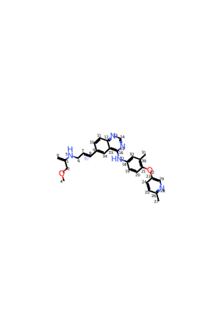 C=C(COC)NC/C=C/c1ccc2ncnc(Nc3ccc(Oc4ccc(C)nc4)c(C)c3)c2c1